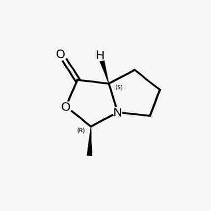 C[C@H]1OC(=O)[C@@H]2CCCN12